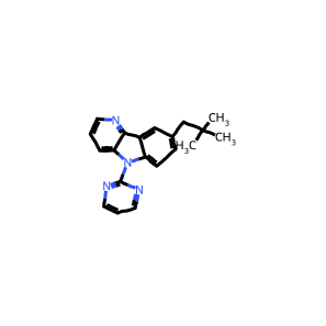 CC(C)(C)Cc1ccc2c(c1)c1ncccc1n2-c1ncccn1